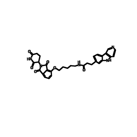 O=C(CCc1ccc2c(c1)[nH]c1ccncc12)NCCCCCOc1cccc2c1C(=O)N(C1CCC(=O)NC1=O)C2=O